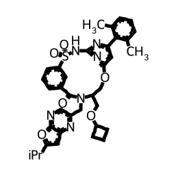 Cc1cccc(C)c1-c1cc2nc(n1)NS(=O)(=O)c1cccc(c1)C(=O)N(Cc1cnc3oc(C(C)C)cc3n1)C(COC1CCC1)CO2